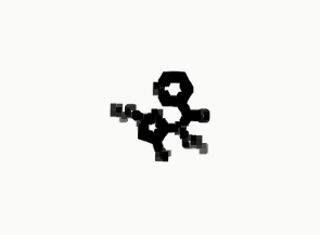 CN(C(=O)c1cccnc1)c1nn(C)cc1Br